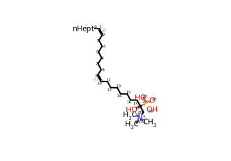 CCCCCCC/C=C\CCCCCC/C=C\CCCCCCCC(O)(C[N+](C)(C)C)P(=O)(O)O